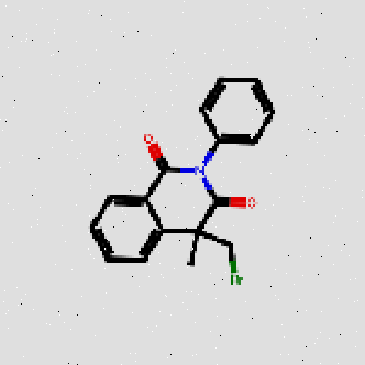 CC1(CBr)C(=O)N(c2ccccc2)C(=O)c2ccccc21